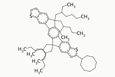 CCCCC(CC)CC1(CC(CC)CCC)c2cc3c(cc2-c2cc4sccc4cc21)C(CC(CC)CCCC)(CC(CC)CCCC)c1cc2cc(C4CCCCCCC4)sc2cc1-3